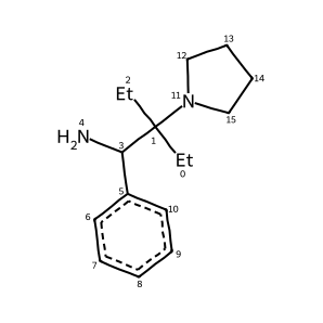 CCC(CC)(C(N)c1ccccc1)N1CCCC1